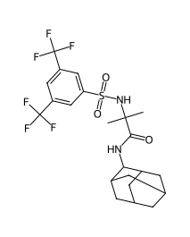 CC(C)(NS(=O)(=O)c1cc(C(F)(F)F)cc(C(F)(F)F)c1)C(=O)NC1C2CC3CC(C2)CC1C3